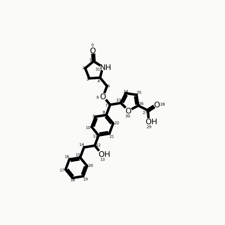 O=C1CCC(COC(c2ccc(C(O)Cc3ccccc3)cc2)c2ccc(C(=O)O)o2)N1